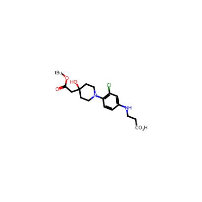 CC(C)(C)OC(=O)CC1(O)CCN(c2ccc(NCCC(=O)O)cc2Cl)CC1